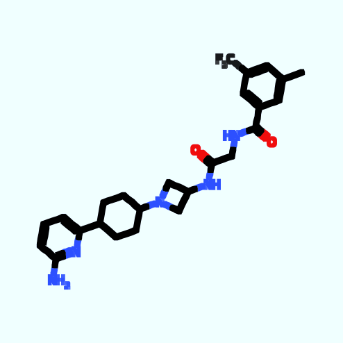 Cc1cc(C(=O)NCC(=O)NC2CN(C3CCC(c4cccc(N)n4)CC3)C2)cc(C(F)(F)F)c1